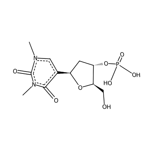 Cn1cc([C@H]2C[C@H](OP(=O)(O)O)[C@@H](CO)O2)c(=O)n(C)c1=O